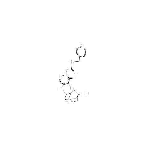 O=C(Cn1ncc(NC2C3CC4CC2CC(O)(C4)C3)c(Br)c1=O)NCc1ccncc1